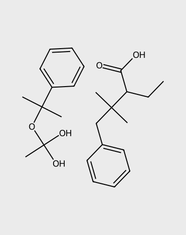 CC(O)(O)OC(C)(C)c1ccccc1.CCC(C(=O)O)C(C)(C)Cc1ccccc1